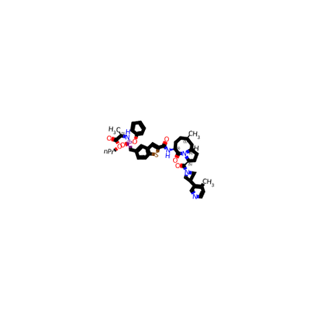 CCCOC(=O)[C@H](C)NP(=O)(Cc1ccc2sc(C(=O)N[C@H]3CC[C@H](C)C[C@H]4CC[C@@H](C(=O)N5CC(c6cnccc6C)C5)N4C3=O)cc2c1)Oc1ccccc1